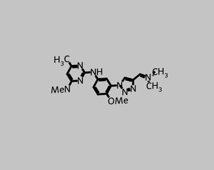 CNc1cc(C)nc(Nc2ccc(OC)c(-n3cc(C=[N+](C)C)nn3)c2)n1